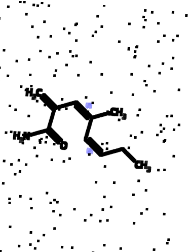 C=C(/C=C(C)\C=C/CC)C(N)=O